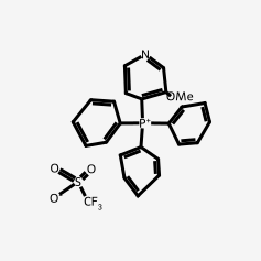 COc1cnccc1[P+](c1ccccc1)(c1ccccc1)c1ccccc1.O=S(=O)([O-])C(F)(F)F